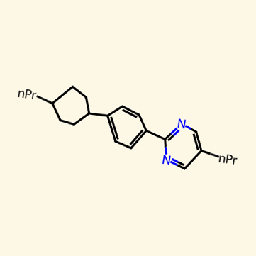 CCCc1cnc(-c2ccc(C3CCC(CCC)CC3)cc2)nc1